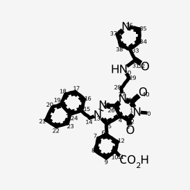 Cn1c(=O)c2c(-c3cccc(C(=O)O)c3)n(Cc3cccc4ccccc34)nc2n(CCNC(=O)c2ccncc2)c1=O